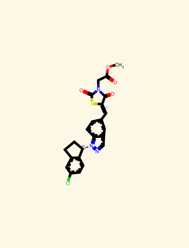 COC(=O)CN1C(=O)S/C(=C\c2ccc3c(cnn3[C@H]3CCc4cc(Cl)ccc43)c2)C1=O